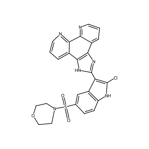 O=S(=O)(c1ccc2[nH]c(Cl)c(-c3nc4c5cccnc5c5ncccc5c4[nH]3)c2c1)N1CCOCC1